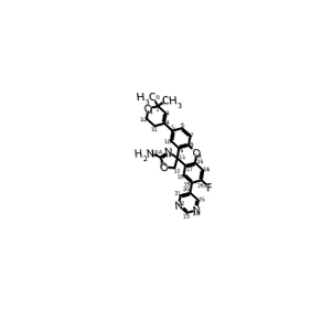 CC1(C)C=C(c2ccc3c(c2)C2(COC(N)=N2)c2cc(-c4cncnc4)c(F)cc2O3)CCO1